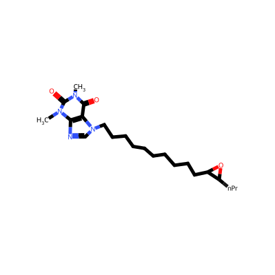 CCCC1OC1CCCCCCCCCCn1cnc2c1c(=O)n(C)c(=O)n2C